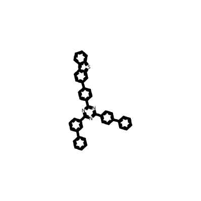 c1ccc(-c2ccc(-c3nc(-c4ccc(-c5ccc6c(c5)sc5ccccc56)cc4)nc(-c4cccc(-c5ccccc5)c4)n3)cc2)cc1